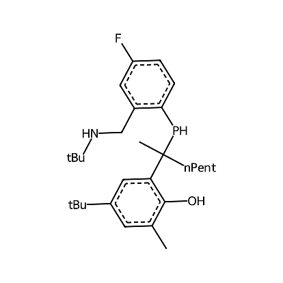 CCCCCC(C)(Pc1ccc(F)cc1CNC(C)(C)C)c1cc(C(C)(C)C)cc(C)c1O